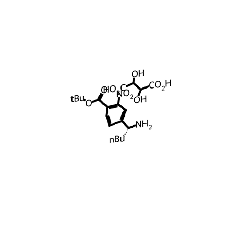 CCCC[C@@H](N)c1ccc(C(=O)OC(C)(C)C)c([N+](=O)[O-])c1.O=C(O)C(O)C(O)C(=O)O